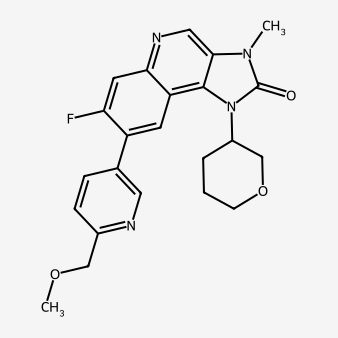 COCc1ccc(-c2cc3c(cc2F)ncc2c3n(C3CCCOC3)c(=O)n2C)cn1